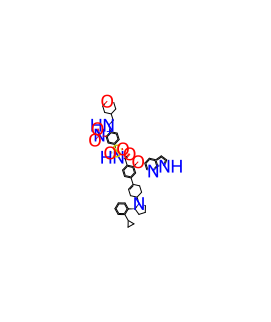 O=C(NS(=O)(=O)c1ccc(NCC2CCOCC2)c([N+](=O)[O-])c1)c1ccc(C2=CCC(N3CCC[C@H]3c3ccccc3C3CC3)CC2)cc1Oc1cnc2[nH]ccc2c1